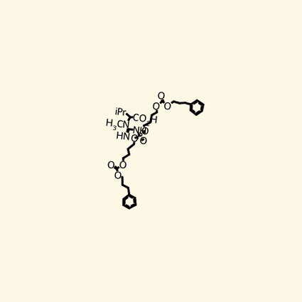 CC(C)C(C(=O)O)N(C)C(=N)NP(=O)(OCCCCOC(=O)OCCCc1ccccc1)OCCCCOC(=O)OCCCc1ccccc1